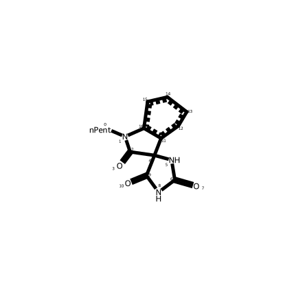 CCCCCN1C(=O)C2(NC(=O)NC2=O)c2ccccc21